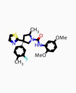 COc1ccc(OC)c(NC(=O)N2C[C@@](c3ccc(C)c(F)c3)(c3nccs3)CC2C)c1